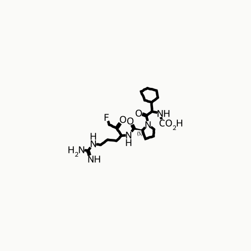 N=C(N)NCCCC(NC(=O)[C@@H]1CCCN1C(=O)C(NC(=O)O)C1CCCCC1)C(=O)CF